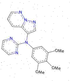 COc1cc(N(c2ncccn2)c2cnn3ncccc23)cc(OC)c1OC